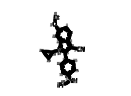 CCOc1ccc2c(C#N)c(-c3ccc(NC(C)C)cc3)n(C3CC3)c2c1